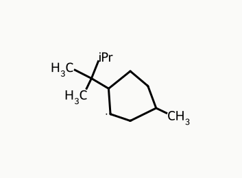 CC1C[CH]C(C(C)(C)C(C)C)CC1